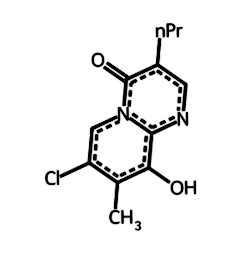 CCCc1cnc2c(O)c(C)c(Cl)cn2c1=O